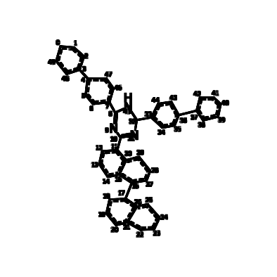 c1ccc(-c2ccc(C3=NC(c4cccc5c(-c6cccc7ccccc67)cccc45)=NC(c4ccc(-c5ccccc5)cc4)N3)cc2)cc1